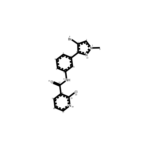 Cn1cc(Br)c(-c2cccc(NC(=O)c3cccnc3Cl)c2)n1